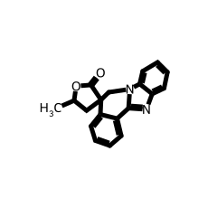 CC1CC2(Cn3c(nc4ccccc43)-c3ccccc32)C(=O)O1